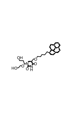 O=c1[nH]c(=O)n(C(CCO)OCCO)cc1COCCCCCc1ccc2ccc3cccc4ccc1c2c34